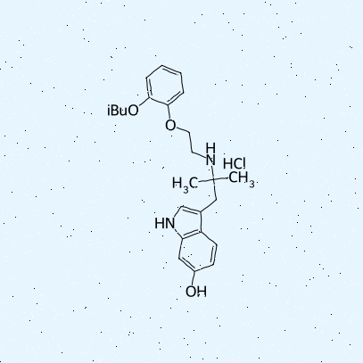 CC(C)COc1ccccc1OCCNC(C)(C)Cc1c[nH]c2cc(O)ccc12.Cl